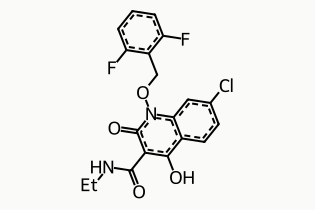 CCNC(=O)c1c(O)c2ccc(Cl)cc2n(OCc2c(F)cccc2F)c1=O